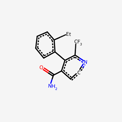 CCc1ccccc1-c1c(C(N)=O)ccnc1C(F)(F)F